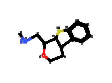 CNCC1OCCC2c3ccccc3SC12